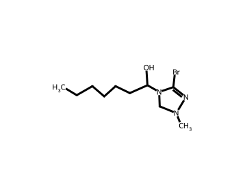 CCCCCCC(O)N1CN(C)N=C1Br